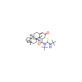 CC(C)(C)NC(=S)N(C(=O)C1CC(=O)C=C2CC[C@@H]3[C@@H](CC[C@]4(C)CCC[C@@H]34)[C@]21C)C(C)(C)C